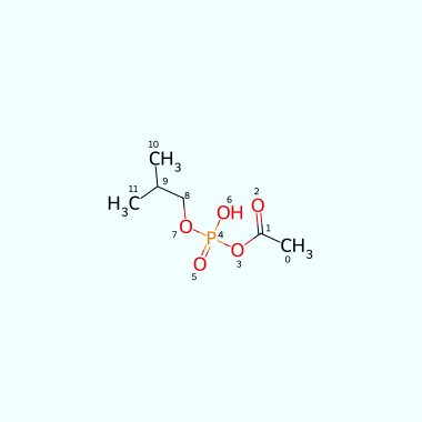 CC(=O)OP(=O)(O)OCC(C)C